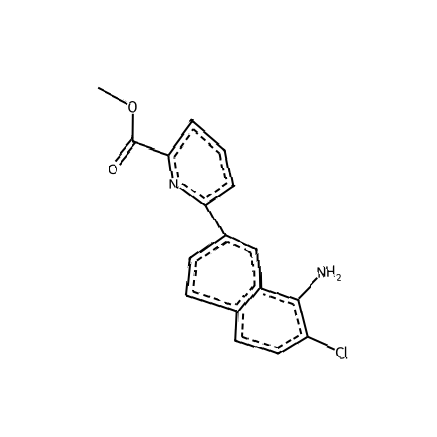 COC(=O)c1cccc(-c2ccc3ccc(Cl)c(N)c3c2)n1